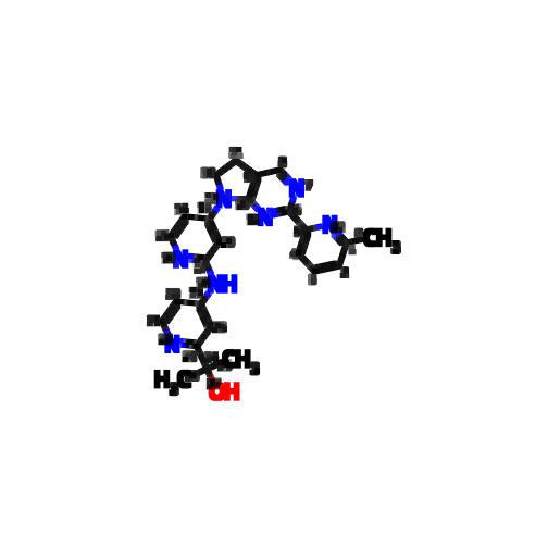 Cc1cccc(-c2ncc3c(n2)N(c2ccnc(Nc4ccnc(C(C)(C)O)c4)c2)CC3)n1